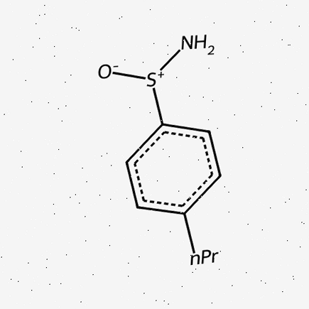 CCCc1ccc([S+](N)[O-])cc1